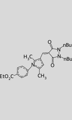 CCCCN1C(=O)C(=Cc2cc(C)n(-c3ccc(C(=O)OCC)cc3)c2C)C(=O)N1CCCC